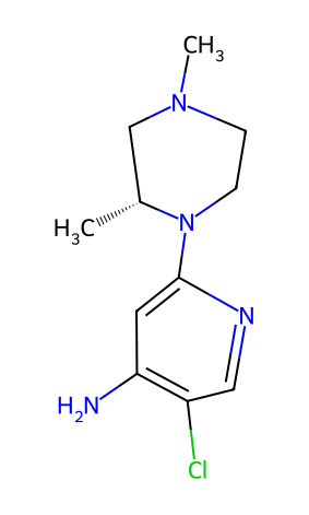 C[C@@H]1CN(C)CCN1c1cc(N)c(Cl)cn1